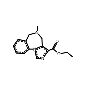 CCOC(=O)c1ncn2c1CN(C)Cc1ccccc1-2